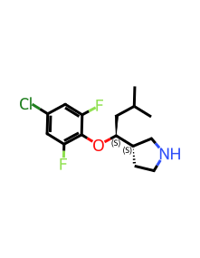 CC(C)C[C@H](Oc1c(F)cc(Cl)cc1F)[C@H]1CCNC1